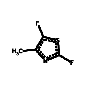 Cc1nc(F)sc1F